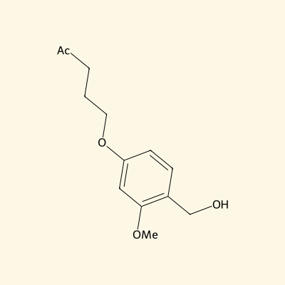 COc1cc(OCCCC(C)=O)ccc1CO